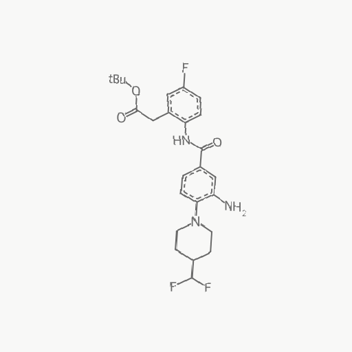 CC(C)(C)OC(=O)Cc1cc(F)ccc1NC(=O)c1ccc(N2CCC(C(F)F)CC2)c(N)c1